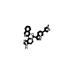 Cn1cc(-c2ccc3c(C(=O)N4CCc5[nH]cnc5[C@H]4c4cc5ccccc5cn4)cnn3c2)cn1